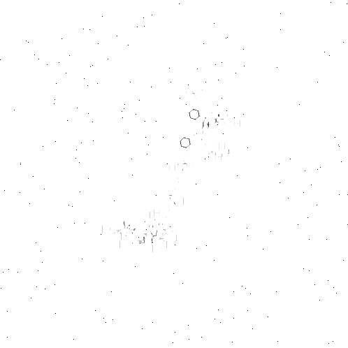 CC(C)(C)OC(=O)CC[C@H](NC(=O)N[C@@H](CCCCNC(=O)CCCCCNC(=O)CCc1ccc(O)c(CN(CCN(CC(=O)OC(C)(C)C)Cc2cc(CCC(=O)O)ccc2O)CC(=O)OC(C)(C)C)c1)C(=O)OC(C)(C)C)C(=O)OC(C)(C)C